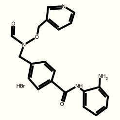 Br.Nc1ccccc1NC(=O)c1ccc(CN(C=O)OCc2cccnc2)cc1